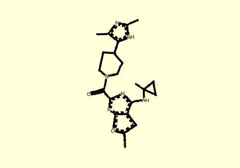 Cc1nc(C)c(C2CCN(C(=O)c3nc(NC4(C)CC4)c4cc(C)oc4n3)CC2)[nH]1